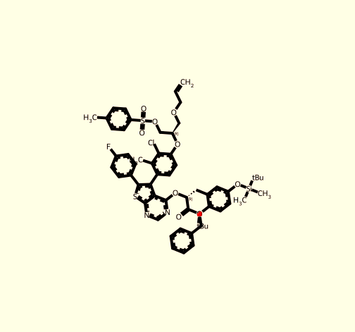 C=CCOC[C@H](COS(=O)(=O)c1ccc(C)cc1)Oc1ccc(-c2c(-c3ccc(F)cc3)sc3ncnc(O[C@H](Cc4cc(O[Si](C)(C)C(C)(C)C)ccc4OCc4ccccc4)C(=O)OC(C)(C)C)c23)c(C)c1Cl